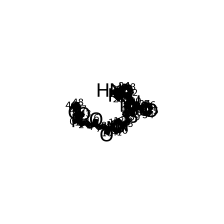 CN(CC=CC(=O)CCC(=O)N1CCN(Cc2cc3nc(-c4cccc5[nH]ncc45)nc(N4CCOCC4)c3s2)CC1)C(=O)OC(C)(C)C